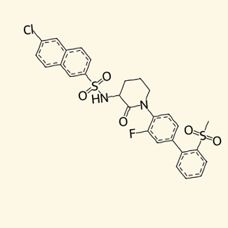 CS(=O)(=O)c1ccccc1-c1ccc(N2CCCC(NS(=O)(=O)c3ccc4cc(Cl)ccc4c3)C2=O)c(F)c1